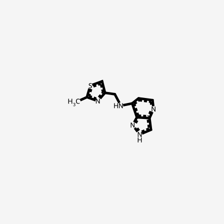 Cc1nc(CNc2ccnc3c[nH]nc23)cs1